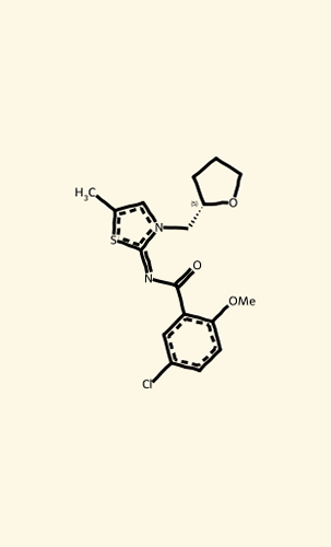 COc1ccc(Cl)cc1C(=O)N=c1sc(C)cn1C[C@@H]1CCCO1